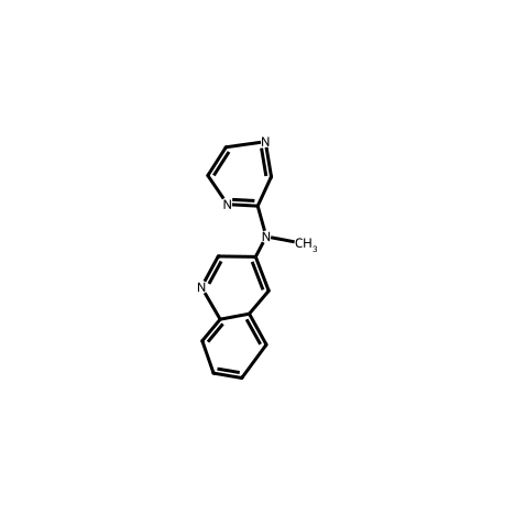 CN(c1cnc2ccccc2c1)c1cnccn1